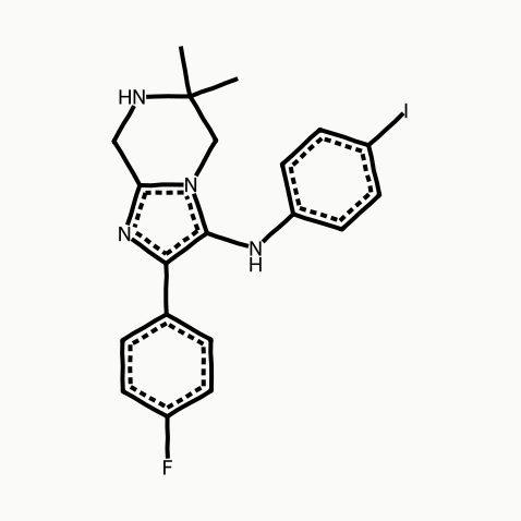 CC1(C)Cn2c(nc(-c3ccc(F)cc3)c2Nc2ccc(I)cc2)CN1